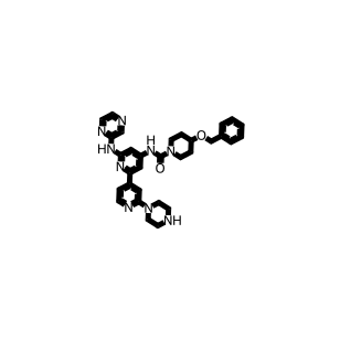 O=C(Nc1cc(Nc2cnccn2)nc(-c2ccnc(N3CCNCC3)c2)c1)N1CCC(OCc2ccccc2)CC1